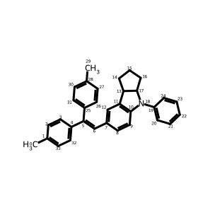 Cc1ccc(C(=Cc2ccc3c(c2)C2CCCC2N3c2ccccc2)c2ccc(C)cc2)cc1